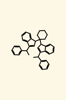 CC(C1=CC(C2(C3C=C(C(C)c4ccccc4)c4ccccc43)CCCCC2)c2ccccc21)c1ccccc1